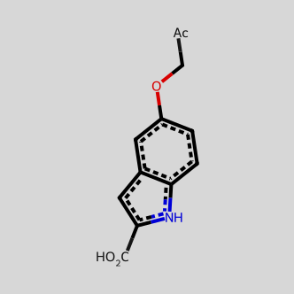 CC(=O)COc1ccc2[nH]c(C(=O)O)cc2c1